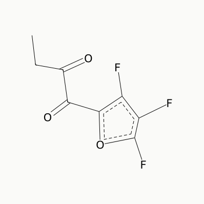 CCC(=O)C(=O)c1oc(F)c(F)c1F